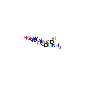 Cc1nn(CC(C)(C)O)c(C)c1-c1nnc(Cc2ccc(Cl)c(Oc3cc(N)cc(Cl)c3)c2F)o1